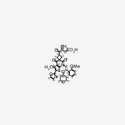 COc1ccccc1[C@H](CN1C(=O)C2(CC(C(=O)N(C)CC(=O)O)C2)C(=O)c2c1sc(-c1ncco1)c2C)OC1CCOCC1